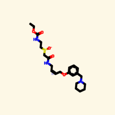 CCOC(=O)NCC[S+]([O-])CC(=O)NC/C=C\COc1cccc(CN2CCCCC2)c1